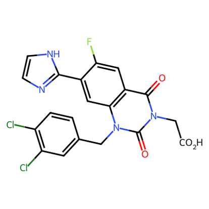 O=C(O)Cn1c(=O)c2cc(F)c(-c3ncc[nH]3)cc2n(Cc2ccc(Cl)c(Cl)c2)c1=O